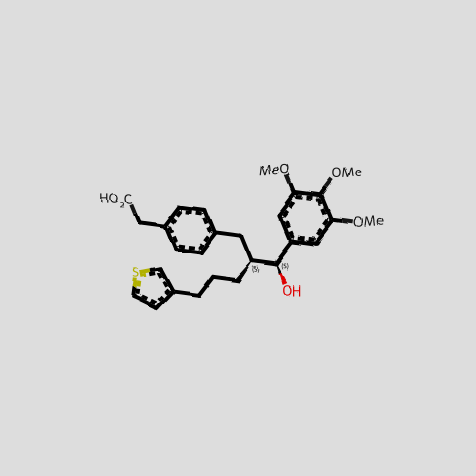 COc1cc([C@@H](O)[C@@H](CCCc2ccsc2)Cc2ccc(CC(=O)O)cc2)cc(OC)c1OC